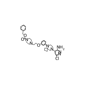 Nc1nnc(Cl)cc1N1CCN(c2cccc(OCCN3CCN(C(=O)OCc4ccccc4)CC3)c2)C2(CCC2)C1